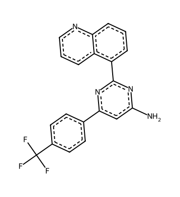 Nc1cc(-c2ccc(C(F)(F)F)cc2)nc(-c2cccc3ncccc23)n1